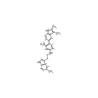 Cc1ccc2[nH]cc(CCNc3ncc(-c4ccc5[nH]c(C)c(C)c5c4)c(N)n3)c2c1